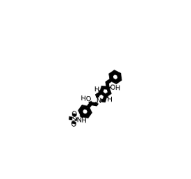 CS(=O)(=O)Nc1ccc(C(O)CN2C[C@@H]3C[C@](O)(Cc4ccccc4)C[C@@H]3C2)cc1